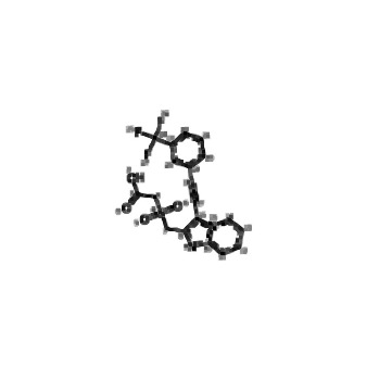 O=C(O)CS(=O)(=O)Cc1nc2ccccn2c1C#Cc1cccc(C(F)(F)F)c1